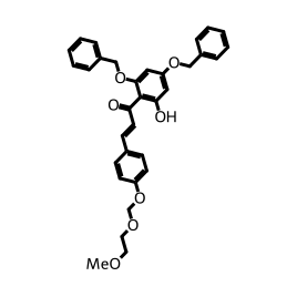 COCCOCOc1ccc(/C=C/C(=O)c2c(O)cc(OCc3ccccc3)cc2OCc2ccccc2)cc1